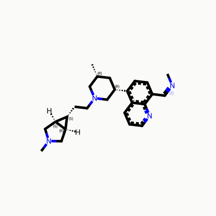 C/N=C\c1ccc([C@H]2C[C@@H](C)CN(CC[C@@H]3[C@H]4CN(C)C[C@@H]34)C2)c2cccnc12